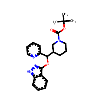 CC(C)(C)OC(=O)N1CCCC(C(Oc2n[nH]c3ccccc23)c2ccccn2)C1